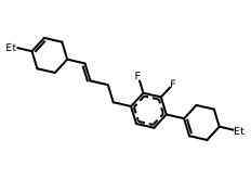 CCC1=CCC(/C=C/CCc2ccc(C3=CCC(CC)CC3)c(F)c2F)CC1